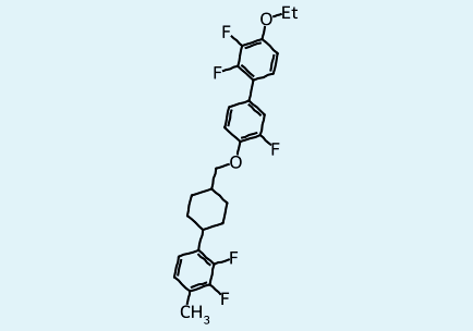 CCOc1ccc(-c2ccc(OCC3CCC(c4ccc(C)c(F)c4F)CC3)c(F)c2)c(F)c1F